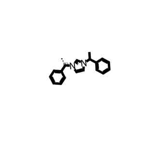 CC(c1ccccc1)n1cc[n+]([C@@H](C)c2ccccc2)c1